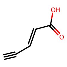 C#CC=CC(=O)O